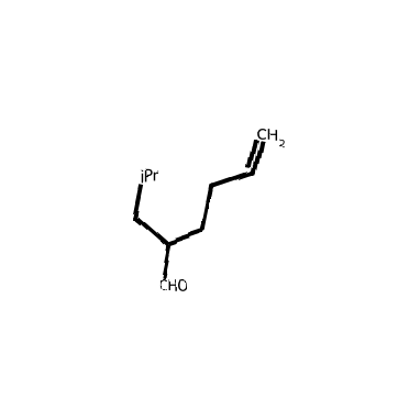 C=CCCC(C=O)CC(C)C